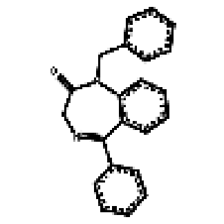 O=C1CN=C(c2ccccc2)c2ccccc2N1Cc1ccccc1